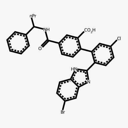 CCCC(NC(=O)c1ccc(-c2cc(Cl)ccc2-c2nc3cc(Br)ccc3[nH]2)c(C(=O)O)c1)c1ccccc1